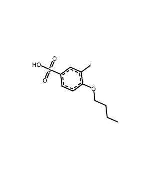 CCCCOc1ccc(S(=O)(=O)O)cc1I